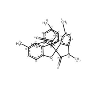 Cc1ccc2c(c1)C1(Oc3ccc(C)cc3C13C(=O)N(C)c1ccc(C)cc13)C(=O)N2C